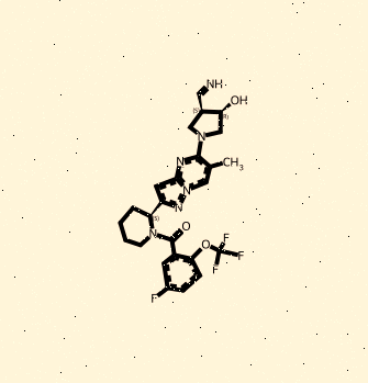 Cc1cn2nc([C@@H]3CCCCN3C(=O)c3cc(F)ccc3OC(F)(F)F)cc2nc1N1C[C@@H](C=N)[C@@H](O)C1